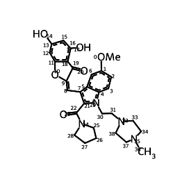 COc1ccc2c(c1)c(C=C1Oc3cc(O)cc(O)c3C1=O)c(C(=O)N1CCCC1)n2CCN1CCN(C)CC1